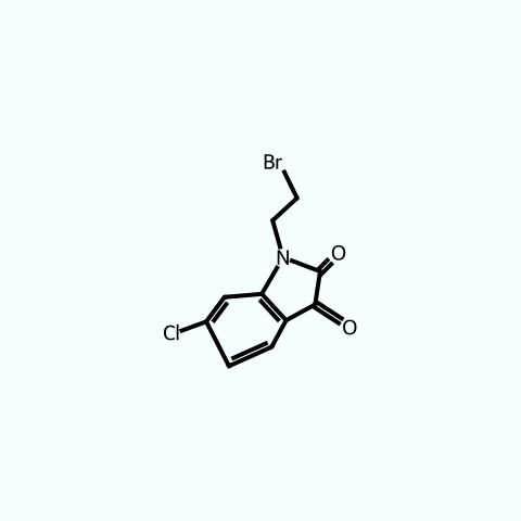 O=C1C(=O)N(CCBr)c2cc(Cl)ccc21